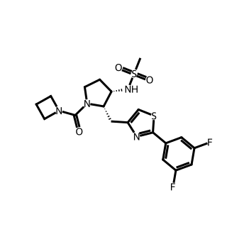 CS(=O)(=O)N[C@H]1CCN(C(=O)N2CCC2)[C@H]1Cc1csc(-c2cc(F)cc(F)c2)n1